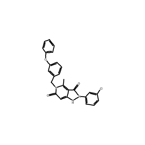 Cc1c2c(=O)n(-c3cccc(Cl)c3)[nH]c2cc(=O)n1Cc1cccc(Oc2ccccc2)c1